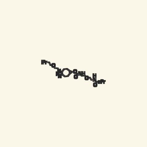 CCCC(=O)NCCOCCNC(=O)OC1C2CCc3nnn(CCOCCC(C)C)c3CCC21